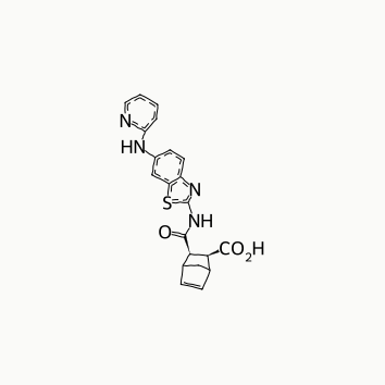 O=C(Nc1nc2ccc(Nc3ccccn3)cc2s1)[C@@H]1C2C=CC(C2)[C@@H]1C(=O)O